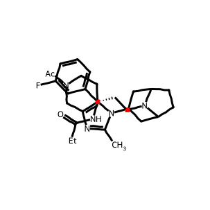 CCC(=O)N[C@@H](CCN1C2CCC1CC(n1c(C)nc3c1CCN(C(C)=O)C3)C2)c1cccc(F)c1